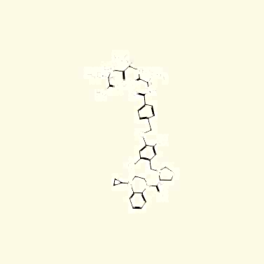 C[C@@H](NC(=O)[C@@H](C)NC(=O)[C@@H](C)NC(=O)c1ccc(COc2cc(Cl)c(CN3CSC[C@H]3C(=O)N3CCN(C4CC4)c4ccccc43)cc2Cl)cc1)C(=O)O